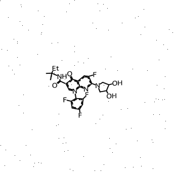 CCC(C)(C)NC(=O)c1cn(-c2c(F)cc(F)cc2F)c2nc(N3CC(O)C(O)C3)c(F)cc2c1=O